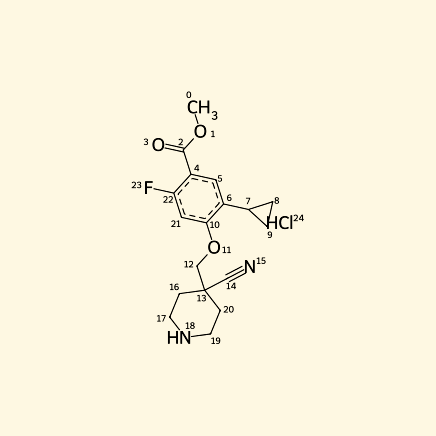 COC(=O)c1cc(C2CC2)c(OCC2(C#N)CCNCC2)cc1F.Cl